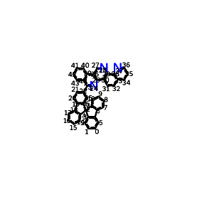 c1ccc2c(c1)-c1ccccc1C21c2ccccc2-c2ccc(-c3nc4c(cnc5c4ccc4cccnc45)c4ccccc34)cc21